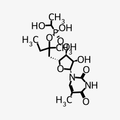 CCC(C)(C[C@H]1O[C@@H](n2cc(C)c(=O)[nH]c2=O)[C@H](O)[C@@H]1O)OP(=O)(O)C(C)O